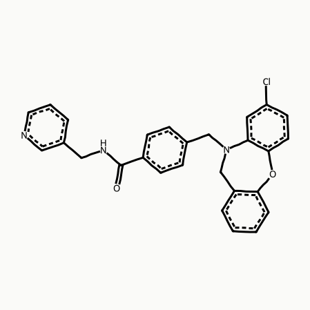 O=C(NCc1cccnc1)c1ccc(CN2Cc3ccccc3Oc3ccc(Cl)cc32)cc1